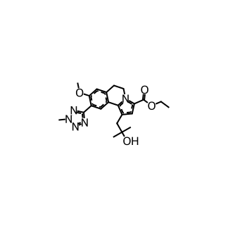 CCOC(=O)c1cc(CC(C)(C)O)c2n1CCc1cc(OC)c(-c3nnn(C)n3)cc1-2